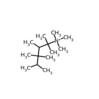 CC(C)C(C)(C)C(C)C(C)(C)[N+](C)(C)C